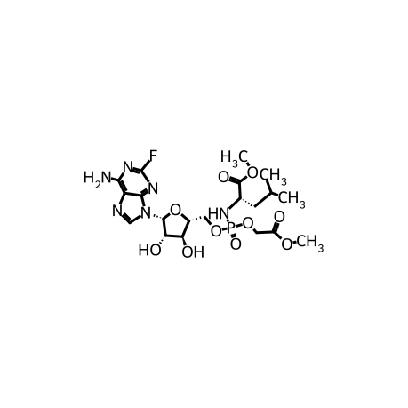 COC(=O)COP(=O)(N[C@@H](CC(C)C)C(=O)OC)OC[C@H]1O[C@@H](n2cnc3c(N)nc(F)nc32)[C@@H](O)[C@@H]1O